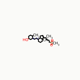 C=C1CCC(O)C/C1=C/C=C1\CCCC2(C)C(C(C)CCCS(C)(=O)=O)=CCC12